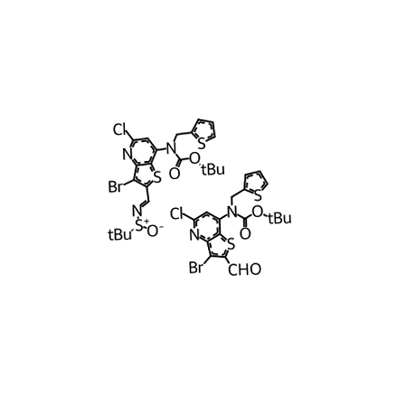 CC(C)(C)OC(=O)N(Cc1cccs1)c1cc(Cl)nc2c(Br)c(/C=N/[S@+]([O-])C(C)(C)C)sc12.CC(C)(C)OC(=O)N(Cc1cccs1)c1cc(Cl)nc2c(Br)c(C=O)sc12